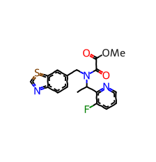 COC(=O)C(=O)N(Cc1ccc2ncsc2c1)C(C)c1ncccc1F